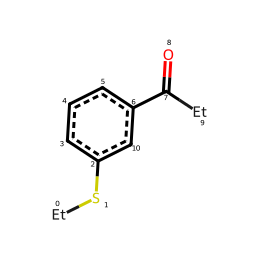 CCSc1cccc(C(=O)CC)c1